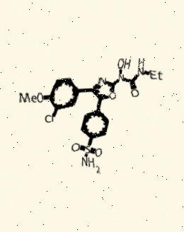 CCNC(=O)N(O)c1nc(-c2ccc(OC)c(Cl)c2)c(-c2ccc(S(N)(=O)=O)cc2)o1